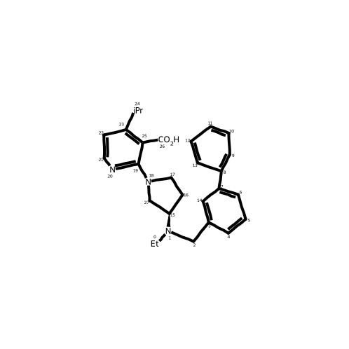 CCN(Cc1cccc(-c2ccccc2)c1)[C@@H]1CCN(c2nccc(C(C)C)c2C(=O)O)C1